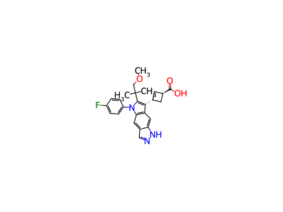 COCC(C)(C)c1c([C@H]2C[C@H](C(=O)O)C2)c2cc3[nH]ncc3cc2n1-c1ccc(F)cc1